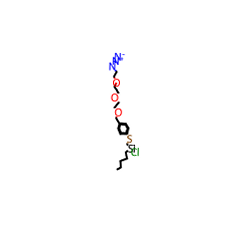 CCCCC[Si](C)(Cl)CSc1ccc(COCCOCCOCCN=[N+]=[N-])cc1